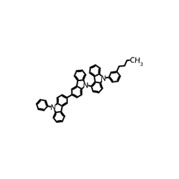 CCCCc1cccc(-n2c3ccccc3c3c(-n4c5ccccc5c5cc(-c6ccc7c(c6)c6ccccc6n7-c6ccccc6)ccc54)cccc32)c1